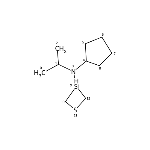 CC(C)N(C1CCCC1)[SiH]1CSC1